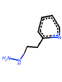 NNCCc1ccccn1